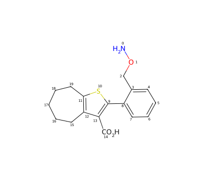 NOCc1ccccc1-c1sc2c(c1C(=O)O)CCCCC2